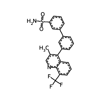 Cc1cnc2c(C(F)(F)F)cccc2c1-c1cccc(-c2cccc(S(N)(=O)=O)c2)c1